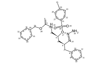 C=C(NC[C@H](C[C@H](Cc1ccccc1)N=NN)OS(=O)(=O)c1ccc(C)cc1)OCc1ccccc1